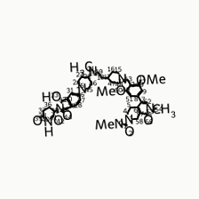 CNC(=O)N1CCc2c(-c3cc(OC)c(CN4CCC(CCN(C)C5CCN(c6ccc7c(c6)C(O)N(C6CCC(=O)NC6=O)C7=O)CC5)CC4)c(OC)c3)cn(C)c(=O)c2C1